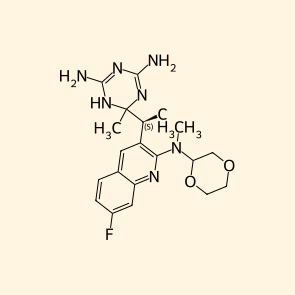 C[C@@H](c1cc2ccc(F)cc2nc1N(C)C1COCCO1)C1(C)N=C(N)N=C(N)N1